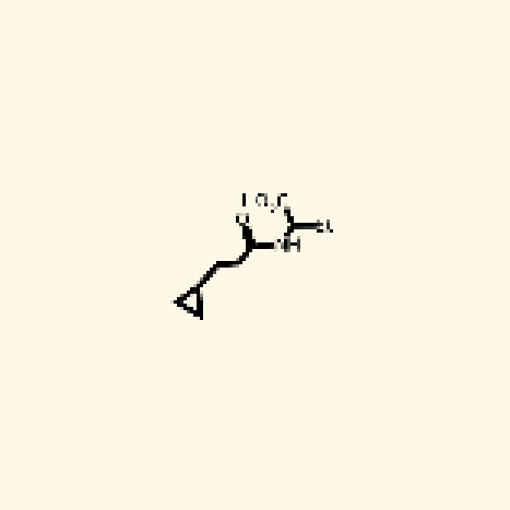 CCC(NC(=O)CCC1CC1)C(=O)O